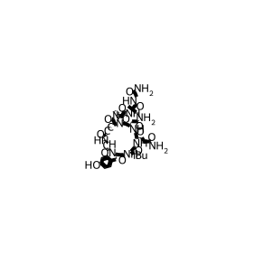 CCC(C)C1NC(=O)[C@H](Cc2ccc(O)cc2)NC(=O)CNC(=O)CCC(C(=O)N(C)CC(=O)NC(C)(C)C(=O)NCC(N)=O)NC(=O)[C@H](CC(N)=O)NC(=O)[C@H](CCC(N)=O)NC1=O